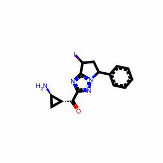 N[C@@H]1C[C@H]1C(=O)c1nc2n(n1)C(c1ccccc1)CC2I